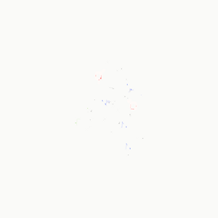 CN1CCN(C(C)(C)[C@](C(N)=O)(C2CCCOC2)N(C)CC(F)(F)F)CC1